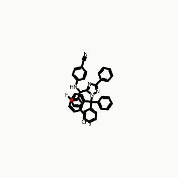 CCc1ccc(F)c(C(Nc2ccc(C#N)cc2)c2nc(-c3ccccc3)nn2C(c2ccccc2)(c2ccccc2)c2ccccc2)c1